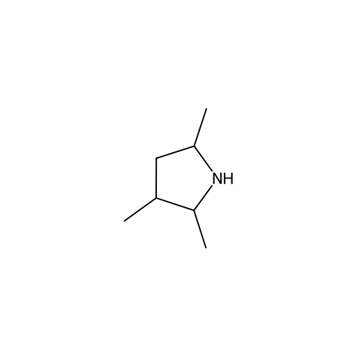 CC1CC(C)C(C)N1